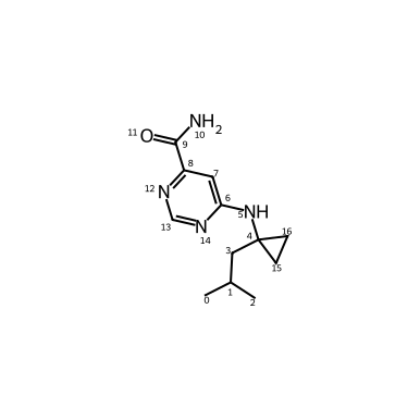 CC(C)CC1(Nc2cc(C(N)=O)ncn2)CC1